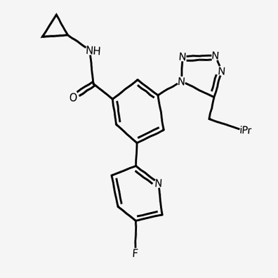 CC(C)Cc1nnnn1-c1cc(C(=O)NC2CC2)cc(-c2ccc(F)cn2)c1